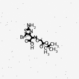 CC(C)(C)OC(=O)CON=C(C(=O)O)c1nc(N)sc1Br